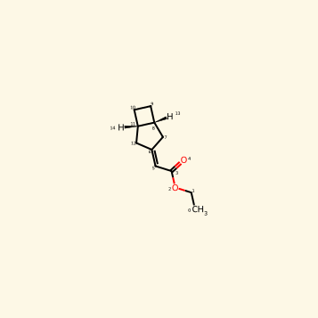 CCOC(=O)/C=C1\C[C@H]2CC[C@H]2C1